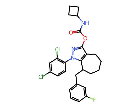 O=C(NC1CCC1)Oc1nn(-c2ccc(Cl)cc2Cl)c2c1CCCCC2Cc1cccc(F)c1